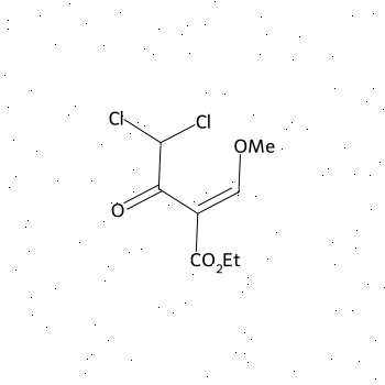 CCOC(=O)C(=COC)C(=O)C(Cl)Cl